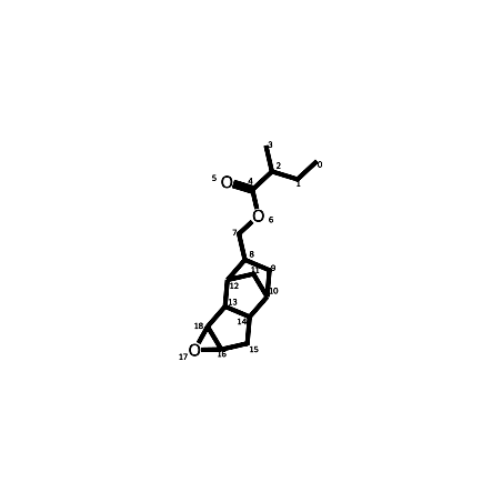 CCC(C)C(=O)OCC1CC2CC1C1C2CC2OC21